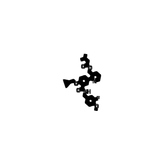 COc1ccc(CNC(=O)c2cc(-c3ncccc3COC(=O)CC(C)C)ccc2OCC2CC2)cc1F